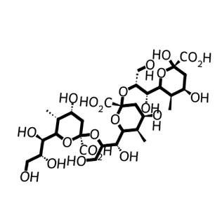 C[C@H]1C([C@H](O)C(CO)O[C@]2(C(=O)O)C[C@@H](O)[C@@H](C)C([C@H](O)[C@H](O)CO)O2)O[C@@](O[C@H](CO)[C@@H](O)C2O[C@@](O)(C(=O)O)C[C@@H](O)[C@H]2C)(C(=O)O)C[C@H]1O